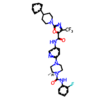 C[C@@H]1CN(c2ccc(NC(=O)c3oc(N4CCC(c5ccccc5)CC4)nc3C(F)(F)F)cn2)CCN1C(=O)Nc1ccccc1F